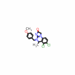 COc1ccc(CN2C3=NC(=O)CN3c3ccc(Cl)c(Cl)c3C2C)cc1